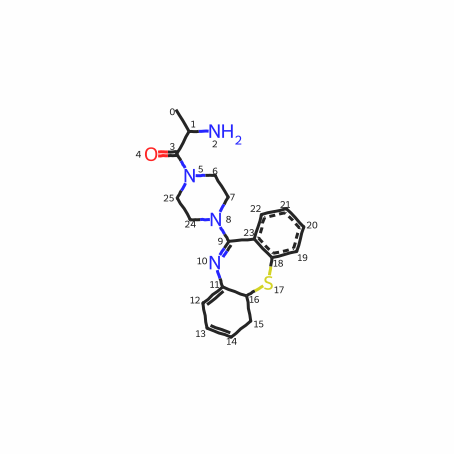 CC(N)C(=O)N1CCN(C2=NC3=CC=CCC3Sc3ccccc32)CC1